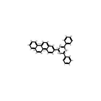 c1ccc(-c2nc(-c3ccccc3)nc(-c3ccc4c(ccc5c6ccccc6ccc45)c3)n2)cc1